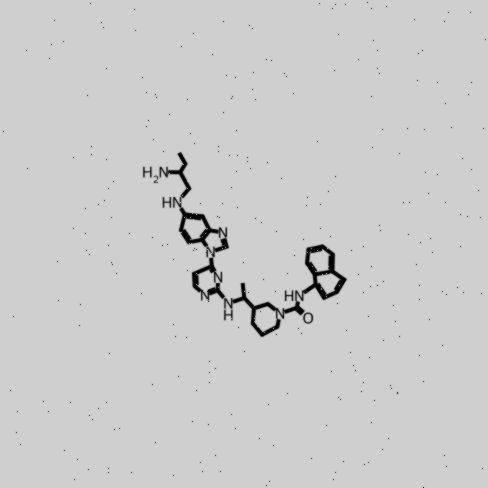 CCC(N)CNc1ccc2c(c1)ncn2-c1ccnc(NC(C)C2CCCN(C(=O)Nc3cccc4ccccc34)C2)n1